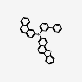 c1ccc(-c2cccc(N(c3ccc4c(ccc5c6ccccc6sc45)c3)c3ccc4ccc5ccccc5c4c3)c2)cc1